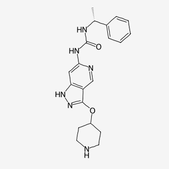 C[C@@H](NC(=O)Nc1cc2[nH]nc(OC3CCNCC3)c2cn1)c1ccccc1